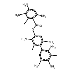 Cc1c(N)c(N)cc(-c2c(N)cc(OC(=O)c3c(N)cc(N)c(N)c3C)c(N)c2C)c1N